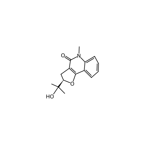 Cn1c(=O)c2c(c3ccccc31)O[C@@H](C(C)(C)O)C2